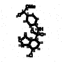 COC(=O)c1ccc(NS(=O)(=O)c2ccc(Cl)c3nonc23)cc1